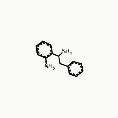 Nc1ccccc1C(N)Cc1ccccc1